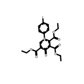 CCOC(=O)c1cn(-c2ccc(I)cc2)c(C(=O)OCC)c(C(=O)OCC)c1=O